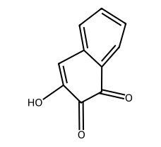 O=C1C(=O)c2ccccc2C=C1O